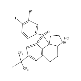 CC(C)c1cc(S(=O)(=O)C23CCNC2CCc2cc(C(F)(C(F)(F)F)C(F)(F)F)ccc23)ccc1F.Cl